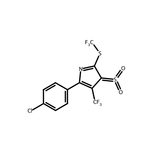 O=S(=O)=C1C(SC(F)(F)F)=NC(c2ccc(Cl)cc2)=C1C(F)(F)F